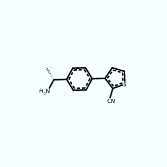 C[C@@H](N)c1ccc(-c2ccsc2C#N)cc1